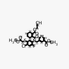 C#CCOC(=O)C1=C(C(=O)N(Cc2cncc(C(=O)OC)c2)c2cc(SCC(=O)OC)c(Cl)cc2F)CCCC1